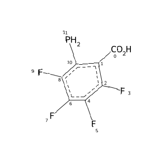 O=C(O)c1c(F)c(F)c(F)c(F)c1P